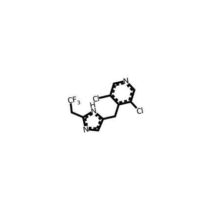 FC(F)(F)Cc1ncc(Cc2c(Cl)cncc2Cl)[nH]1